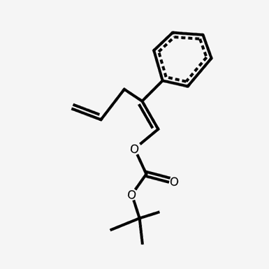 C=CCC(=COC(=O)OC(C)(C)C)c1ccccc1